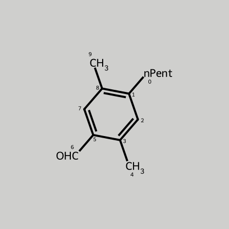 CCCCCc1cc(C)c(C=O)cc1C